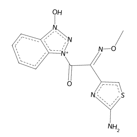 CON=C(C(=O)[n+]1nn(O)c2ccccc21)c1csc(N)n1